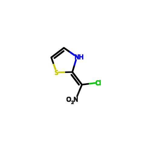 O=[N+]([O-])C(Cl)=C1NC=CS1